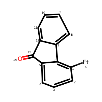 CCc1cccc2c1-c1ccccc1C2=O